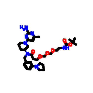 Cc1cc(N2CCC[C@@H](N(Cc3cccc(N4CCCC4)c3)C(=O)CCOCOCOCCNC(=O)OC(C)(C)C)C2)nc(N)n1